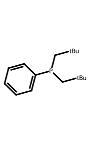 CC(C)(C)CP(CC(C)(C)C)c1ccccc1